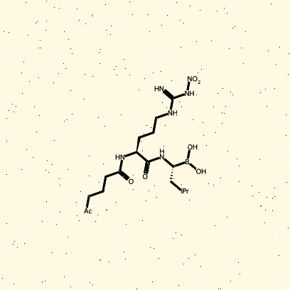 CC(=O)CCCC(=O)N[C@@H](CCCNC(=N)N[N+](=O)[O-])C(=O)N[C@@H](CC(C)C)B(O)O